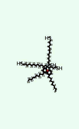 CCCCCCCCCc1ccc(C(CC[CH]S)C(CCCCCCCCCCCCS)([C](S)CCCCCCCCCCCCS)c2ccc(CCCCCCCCC)cc2)cc1